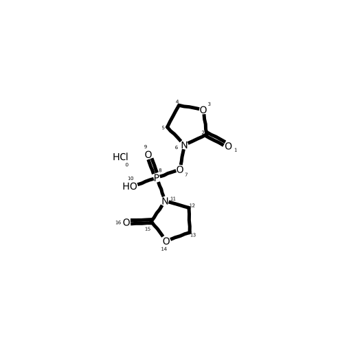 Cl.O=C1OCCN1OP(=O)(O)N1CCOC1=O